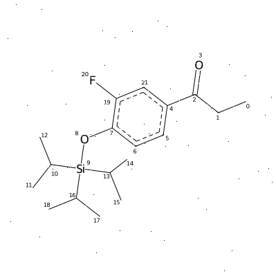 CCC(=O)c1ccc(O[Si](C(C)C)(C(C)C)C(C)C)c(F)c1